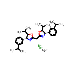 CC(C)c1cccc([C@H]2N=C(CC3=N[C@H](c4cccc(C(C)C)c4)C(C(C)C)O3)OC2C(C)C)c1.[Br-].[Br-].[Pd+2]